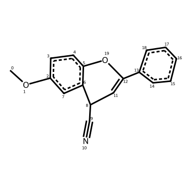 COc1ccc2c(c1)C(C#N)C=C(c1ccccc1)O2